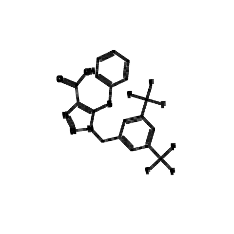 O=C(O)c1nnn(Cc2cc(C(F)(F)F)cc(C(F)(F)F)c2)c1Sc1ccccc1